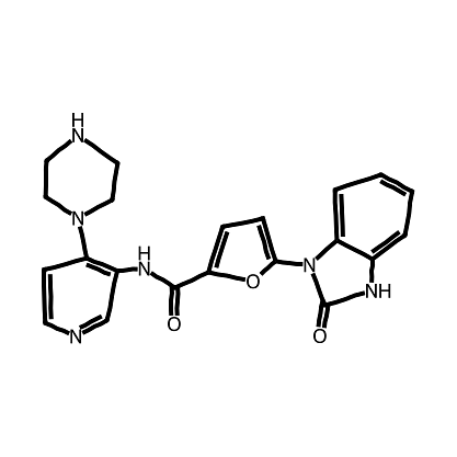 O=C(Nc1cnccc1N1CCNCC1)c1ccc(-n2c(=O)[nH]c3ccccc32)o1